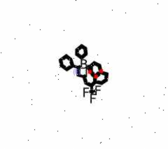 FC(F)(F)c1cc(/C=C(\B(c2ccccc2)c2ccccc2)c2ccccc2)nc2ccccc12